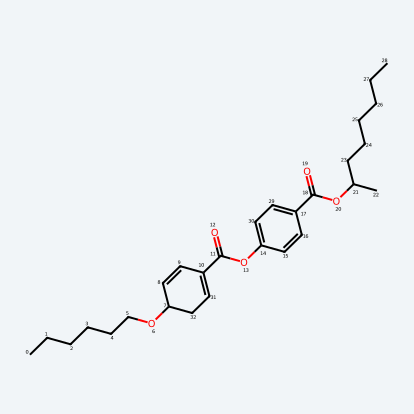 CCCCCCOC1C=CC(C(=O)Oc2ccc(C(=O)OC(C)CCCCCC)cc2)=CC1